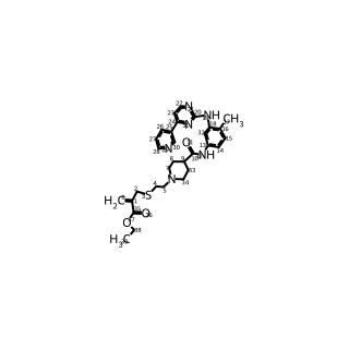 C=C(CSCCN1CCC(C(=O)Nc2ccc(C)c(Nc3nccc(-c4cccnc4)n3)c2)CC1)C(=O)OCC